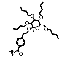 CCCCOC[C@H]1O[C@](C)(OCCc2ccc(C(=O)NC)cc2)[C@@H](OCCCC)[C@@H](OCCCC)[C@@H]1OCCCC